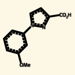 COc1cccc(-n2ccc(C(=O)O)n2)c1